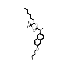 CCCCCC[C@H](OC(=O)[C@@H](C)c1ccc2cc(OCCCC)ccc2c1)C(F)(F)F